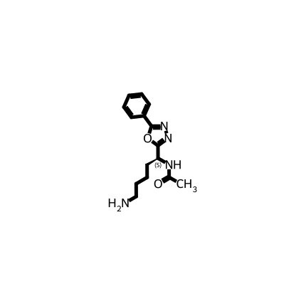 CC(=O)N[C@@H](CCCCN)c1nnc(-c2ccccc2)o1